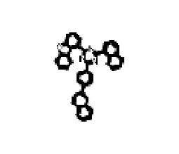 c1ccc2cc(-c3ccc(-c4nc(-c5cccc6ccccc56)nc(-c5cccc6oc7ccccc7c56)n4)cc3)ccc2c1